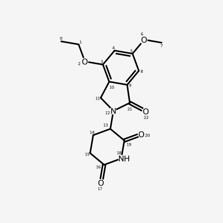 CCOc1cc(OC)cc2c1CN(C1CCC(=O)NC1=O)C2=O